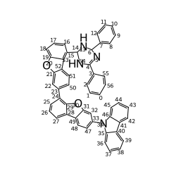 c1ccc(C2=NC(c3ccccc3)NC(c3cccc4oc5cc(-c6cccc7c6oc6cc(-n8c9ccccc9c9ccccc98)ccc67)ccc5c34)N2)cc1